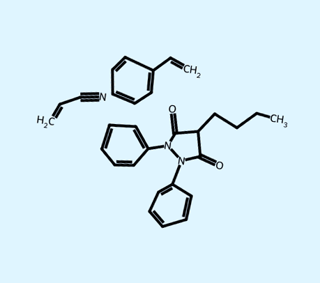 C=CC#N.C=Cc1ccccc1.CCCCC1C(=O)N(c2ccccc2)N(c2ccccc2)C1=O